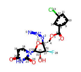 [N-]=[N+]=N[C@]1(COC(=O)c2cccc(Cl)c2)OC(n2ccc(=O)[nH]c2=O)[C@H](O)[C@@H]1F